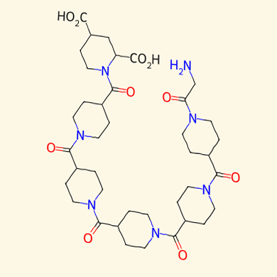 NCC(=O)N1CCC(C(=O)N2CCC(C(=O)N3CCC(C(=O)N4CCC(C(=O)N5CCC(C(=O)N6CCC(C(=O)O)CC6C(=O)O)CC5)CC4)CC3)CC2)CC1